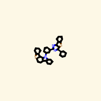 c1ccc(-c2nc(-c3cccc(-n4c5ccccc5c5ccc6sc7ccccc7c6c54)c3)nc3c2sc2ccccc23)cc1